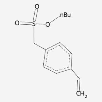 C=Cc1ccc(CS(=O)(=O)OCCCC)cc1